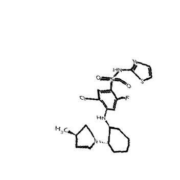 C[C@@H]1CCN([C@H]2CCCC[C@@H]2Nc2cc(F)c(S(=O)(=O)Nc3nccs3)cc2Cl)C1